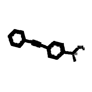 C[C@@H](N)c1ccc(C#Cc2ccccc2)cc1